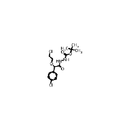 CC(C)(C)OC(=O)NNC(=O)C(OCCCl)c1ccc(Cl)cc1